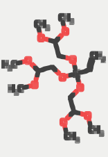 C=C[Si](OCC(OC)OC)(OCC(OC)OC)OCC(OC)OC